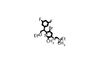 CCOCC(c1cc(F)cc(F)c1)c1nc(C)c(N=CN(C)CC)cc1Br